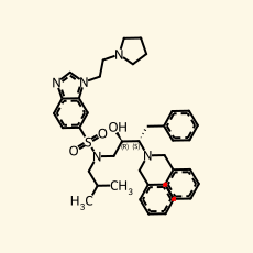 CC(C)CN(C[C@@H](O)[C@H](Cc1ccccc1)N(Cc1ccccc1)Cc1ccccc1)S(=O)(=O)c1ccc2ncn(CCN3CCCC3)c2c1